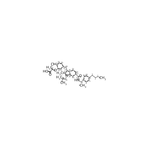 CCCCc1ccc([C@H](C)NC(=O)c2ccc3c(Cc4ccc(Cl)c(O[C@H](C)C(=O)O)c4)c(C)n(CC(C)C)c3c2)cc1